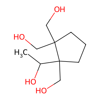 CC(O)C1(CO)CCCC1(CO)CO